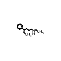 CCNCCCC(CC)c1ccccc1